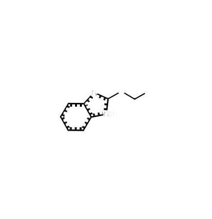 ClCSc1nc2ccccc2[nH]1